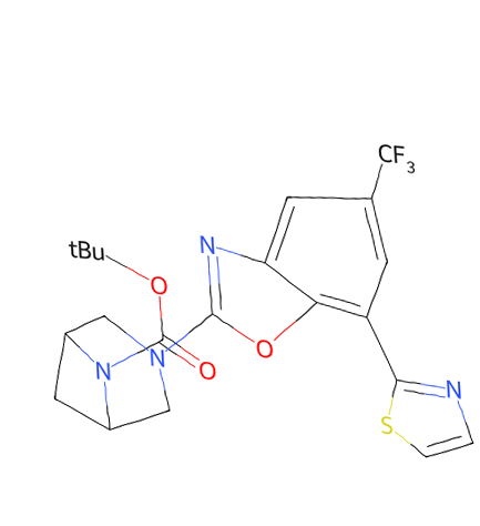 CC(C)(C)OC(=O)N1C2CC1CN(c1nc3cc(C(F)(F)F)cc(-c4nccs4)c3o1)C2